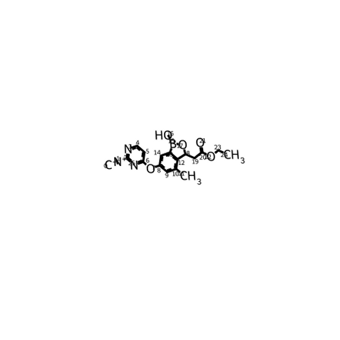 [C-]#[N+]c1nccc(Oc2cc(C)c3c(c2)B(O)OC3CC(=O)OCC)n1